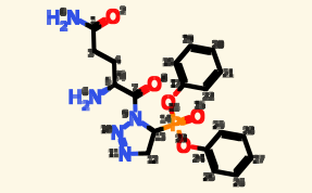 NC(=O)CC[C@H](N)C(=O)N1N=NCC1P(=O)(Oc1ccccc1)Oc1ccccc1